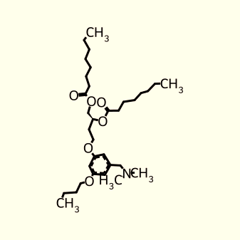 CCCCCCCC(=O)OC[C@H](CCOc1cc(CN(C)C)cc(OCCCC)c1)OC(=O)CCCCCCC